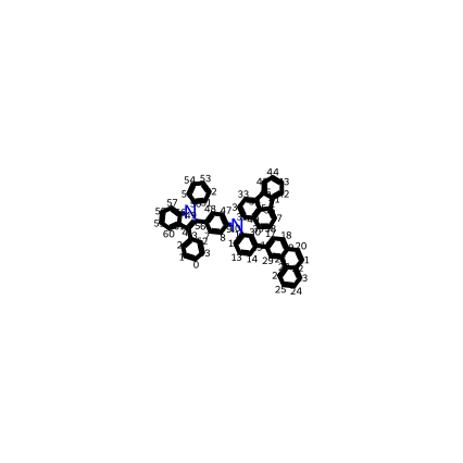 c1ccc(-c2c(-c3ccc(N(c4cccc(-c5ccc6ccc7ccccc7c6c5)c4)c4ccc5c6c(cccc46)-c4ccccc4-5)cc3)n(-c3ccccc3)c3ccccc23)cc1